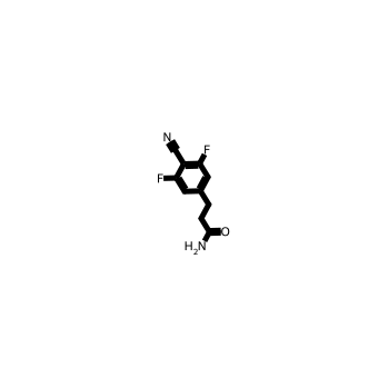 N#Cc1c(F)cc(CCC(N)=O)cc1F